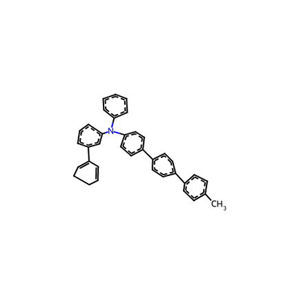 Cc1ccc(-c2ccc(-c3ccc(N(c4ccccc4)c4cccc(C5=CCCC=C5)c4)cc3)cc2)cc1